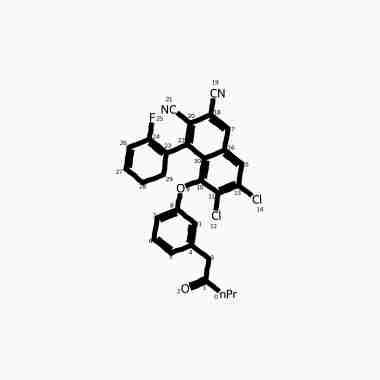 CCCC(=O)Cc1cccc(Oc2c(Cl)c(Cl)cc3cc(C#N)c(C#N)c(C4=C(F)C=CCC4)c23)c1